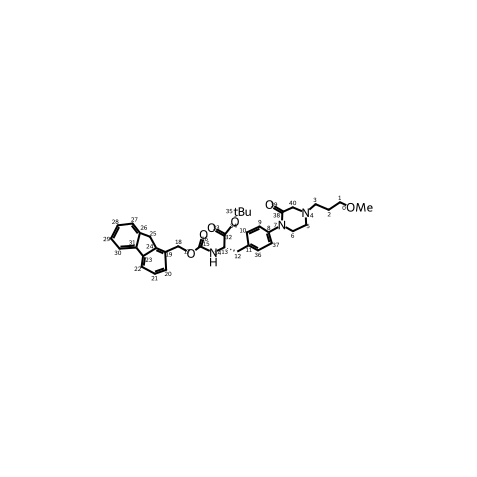 COCCCN1CCN(c2ccc(C[C@H](NC(=O)OCc3cccc4c3Cc3ccccc3-4)C(=O)OC(C)(C)C)cc2)C(=O)C1